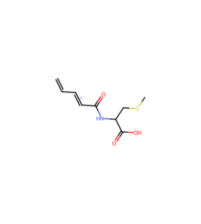 C=C/C=C/C(=O)NC(CSC)C(=O)O